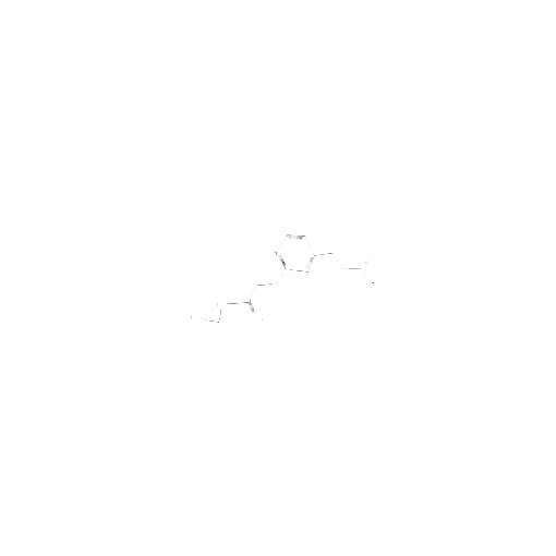 CCOC(=O)CCc1cccc(CCCI)c1